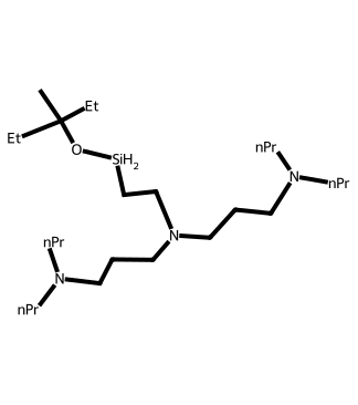 CCCN(CCC)CCCN(CCCN(CCC)CCC)CC[SiH2]OC(C)(CC)CC